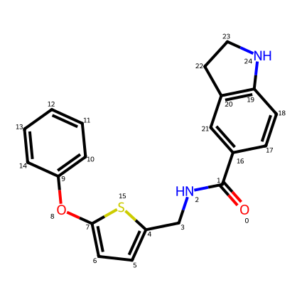 O=C(NCc1ccc(Oc2ccccc2)s1)c1ccc2c(c1)CCN2